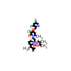 C/C(=C/N=C(\C=C\n1c(C)cc(OCc2ncc(F)cc2F)c(Cl)c1=O)n1cccc([C@@H](C)C2CC2)c1=O)[C@H](C)O